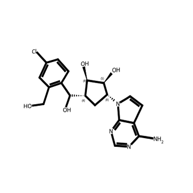 Nc1ncnc2c1ccn2[C@@H]1C[C@H](C(O)c2ccc(Cl)cc2CO)[C@@H](O)[C@H]1O